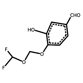 O=Cc1ccc(OCOC(F)F)c(O)c1